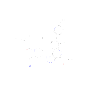 Cc1ccc(-c2c(C)cc3c(nc([S+](C)[O-])c4nnn([C@H]5CCN(C(=O)OC(C)(C)C)[C@H](CC#N)C5)c43)c2F)cn1